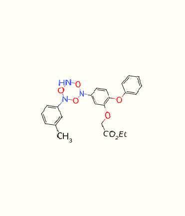 CCOC(=O)COc1cc(N2ONON(c3cccc(C)c3)O2)ccc1Oc1ccccc1